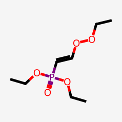 CCOO/C=C/P(=O)(OCC)OCC